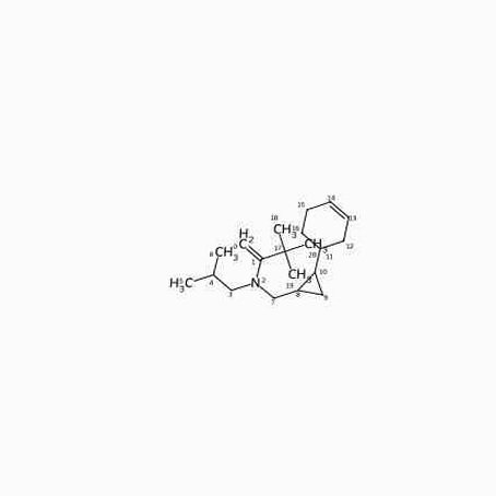 C=C(N(CC(C)C)CC1CC1C1CC=CCC1)C(C)(C)C